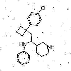 Clc1ccc(C2(CC(Nc3ccccc3)C3CCCNC3)CCC2)cc1